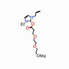 C=CCN1C=CN(CC)C1OC(=O)CCOCCOCCOC